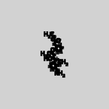 C=C/C(=C(/O)CC(C)Oc1ccccc1CC(=O)OCC)c1cccc(CN)c1F